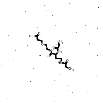 CCC(=O)NCCC(NC(=O)CC)C(=O)NCCOCCC(C)=O